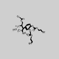 CCC(=O)OCC(C)C(c1ccc(OC(=O)OCCC(C)C)c(OC(=O)OCCC(C)C)c1)[C@H](N)C(=O)O